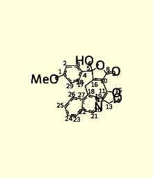 COc1ccc(C2(O)OC(=O)C(C3=CCOO3)=C2Cc2cncc3ccccc23)cc1